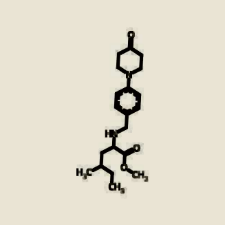 CCC(C)CC(NCc1ccc(N2CCC(=O)CC2)cc1)C(=O)OC